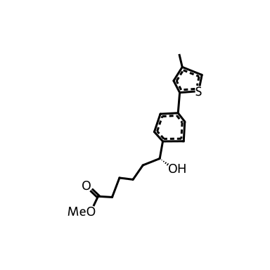 COC(=O)CCCC[C@@H](O)c1ccc(-c2cc(C)cs2)cc1